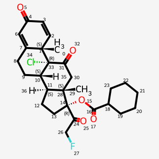 C[C@]12C=CC(=O)C=C1CC[C@H]1[C@@H]3CC[C@](OC(=O)C4CCCCC4)(C(=O)CF)[C@@]3(C)CC(=O)[C@@]12Cl